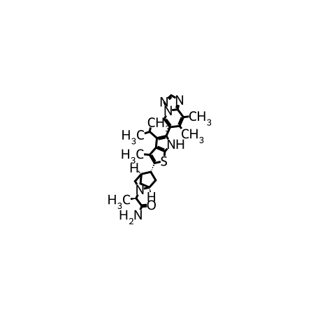 Cc1c(-c2[nH]c3sc([C@@H]4C[C@@H]5C[C@H]4CN5[C@H](C)C(N)=O)c(C)c3c2C(C)C)cn2ncnc2c1C